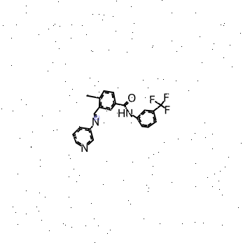 Cc1ccc(C(=O)Nc2cccc(C(F)(F)F)c2)cc1/C=N/c1cccnc1